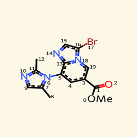 COC(=O)c1cc(-n2c(C)cnc2C)c2ncc(Br)n2c1